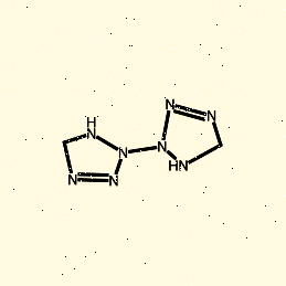 C1N=NN(N2N=NCN2)N1